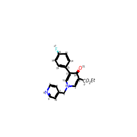 CCOC(=O)c1cn(Cc2ccncc2)cc(-c2ccc(F)cc2)c1=O